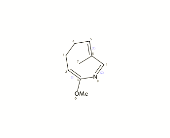 COC1=C/CC/C=C(C)/C=N\1